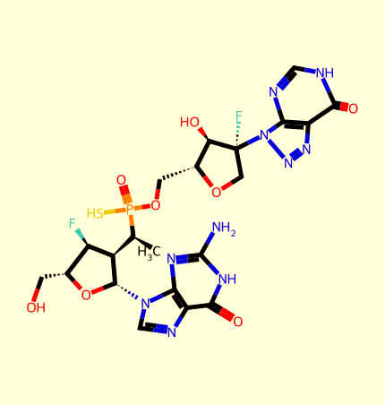 C[C@@H]([C@@H]1[C@H](F)[C@@H](CO)O[C@H]1n1cnc2c(=O)[nH]c(N)nc21)P(=O)(S)OC[C@H]1OC[C@](F)(n2nnc3c(=O)[nH]cnc32)[C@@H]1O